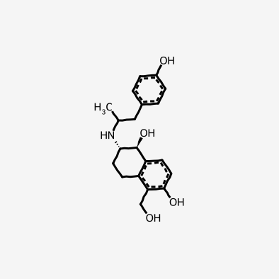 CC(Cc1ccc(O)cc1)N[C@H]1CCc2c(ccc(O)c2CO)[C@@H]1O